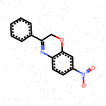 O=[N+]([O-])c1ccc2c(c1)OCC(c1ccccc1)=N2